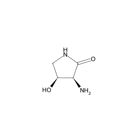 N[C@@H]1C(=O)NC[C@@H]1O